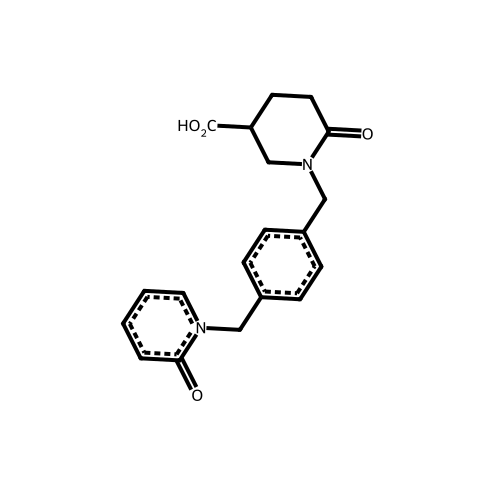 O=C(O)C1CCC(=O)N(Cc2ccc(Cn3ccccc3=O)cc2)C1